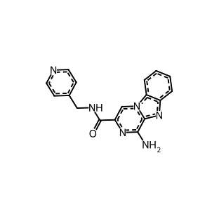 Nc1nc(C(=O)NCc2ccncc2)cn2c1nc1ccccc12